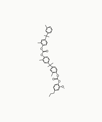 CCCc1ccc(OC(=O)Oc2ccc(C(C)(C)c3ccc(OC(=O)Oc4ccc(C(C)(C)c5cccc(C)c5)cc4C)c(C)c3)cc2C)c(OC)c1